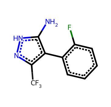 Nc1[nH]nc(C(F)(F)F)c1-c1ccccc1F